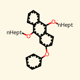 CCCCCCCOc1c2ccccc2c(OCCCCCCC)c2cc(Oc3ccccc3)ccc12